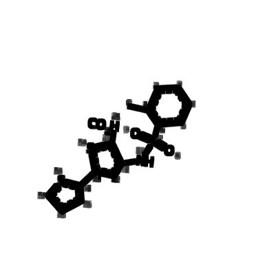 Cc1ccccc1S(=O)(=O)Nc1cc(-c2cccs2)sc1C(=O)O